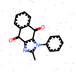 Cc1nc2c(n1-c1ccccc1)C(=O)c1ccccc1C2=O